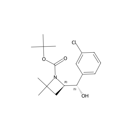 CC(C)(C)OC(=O)N1[C@@H]([C@@H](O)c2cccc(Cl)c2)CC1(C)C